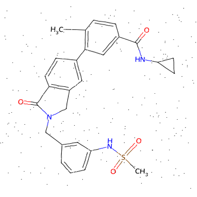 Cc1ccc(C(=O)NC2CC2)cc1-c1ccc2c(c1)CN(Cc1cccc(NS(C)(=O)=O)c1)C2=O